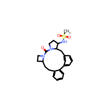 CS(=O)(=O)NC1CCN2C(=O)N3CCC3CCc3ccccc3-c3cccc(c3)CC12